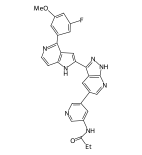 CCC(=O)Nc1cncc(-c2cnc3[nH]nc(-c4cc5c(-c6cc(F)cc(OC)c6)nccc5[nH]4)c3c2)c1